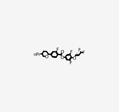 CCCC1CCC(c2ccc(C(=O)Oc3cc(F)c(O/C=C/C(F)F)c(F)c3)c(F)c2)OC1